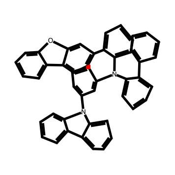 c1ccc(-c2ccccc2N(c2cccc(-n3c4ccccc4c4ccccc43)c2)c2ccccc2-c2ccc3c(c2)oc2ccccc23)cc1